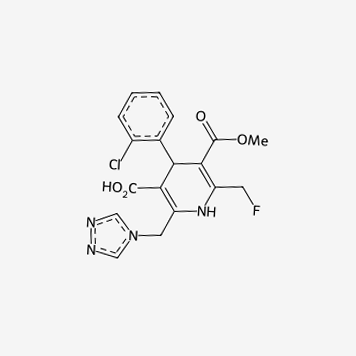 COC(=O)C1=C(CF)NC(Cn2cnnc2)=C(C(=O)O)C1c1ccccc1Cl